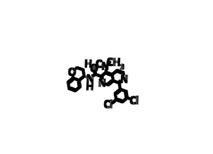 CN(C)c1c(C(=O)N[C@H]2CCOc3ccccc32)ncc2c(-c3cc(Cl)cc(Cl)c3)nccc12